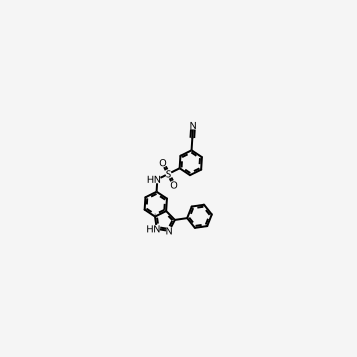 N#Cc1cccc(S(=O)(=O)Nc2ccc3[nH]nc(-c4ccccc4)c3c2)c1